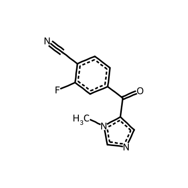 Cn1cncc1C(=O)c1ccc(C#N)c(F)c1